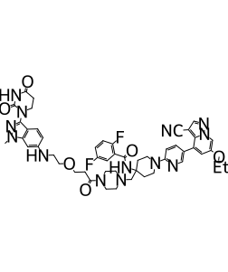 CCOc1cc(-c2ccc(N3CCC(CN4CCN(C(=O)CCOCCNc5ccc6c(N7CCC(=O)NC7=O)nn(C)c6c5)CC4)(NC(=O)c4cc(F)ccc4F)CC3)nc2)c2c(C#N)cnn2c1